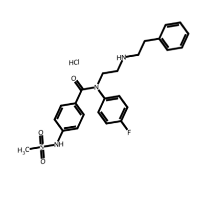 CS(=O)(=O)Nc1ccc(C(=O)N(CCNCCc2ccccc2)c2ccc(F)cc2)cc1.Cl